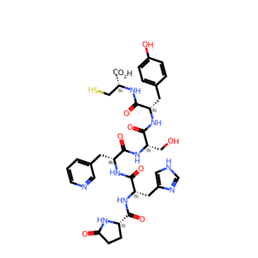 O=C1CC[C@@H](C(=O)N[C@@H](Cc2c[nH]cn2)C(=O)N[C@H](Cc2cccnc2)C(=O)N[C@@H](CO)C(=O)N[C@@H](Cc2ccc(O)cc2)C(=O)N[C@H](CS)C(=O)O)N1